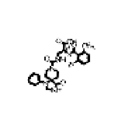 Cc1cccc(Br)c1C(=O)NC(CNC(=O)N1CCC2(CC1)C(=O)NCN2c1ccccc1)C(=O)O